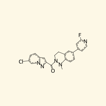 CN1c2ccc(-c3ccnc(F)c3)cc2CCN1C(=O)c1cc2ccc(Cl)cn2n1